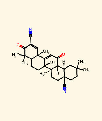 CC1(C)CC[C@]2(C#N)CC[C@]3(C)[C@H](C(=O)C=C4[C@@]5(C)C=C(C#N)C(=O)C(C)(C)C5CC[C@]43C)[C@H]2C1